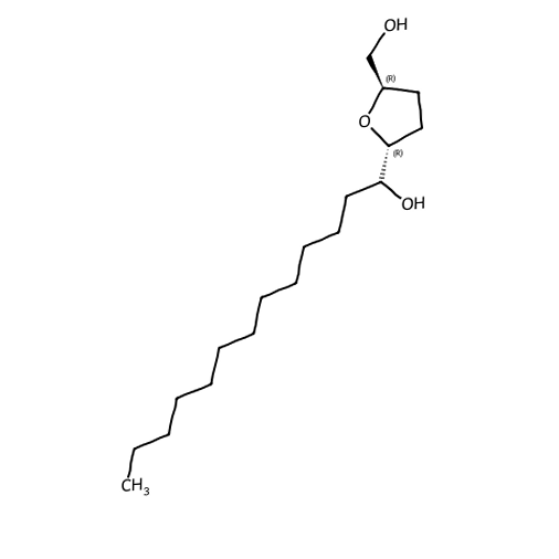 CCCCCCCCCCCCC(O)[C@H]1CC[C@H](CO)O1